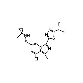 Cc1nc(-c2nnc(C(F)F)s2)n2cc(SNC3(C)CC3)cc(Cl)c12